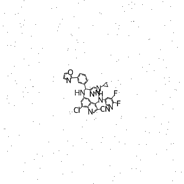 N#Cc1cnc2c(Cl)cc(N[C@@H](c3cccc(-c4ncco4)c3)c3cn(C4CC4)nn3)cc2c1Nc1cnc(F)c(F)c1